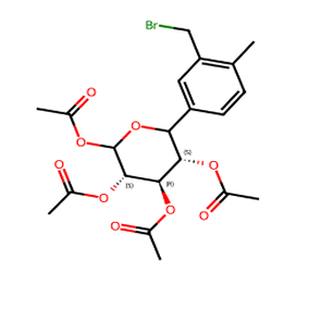 CC(=O)OC1OC(c2ccc(C)c(CBr)c2)[C@H](OC(C)=O)[C@@H](OC(C)=O)[C@@H]1OC(C)=O